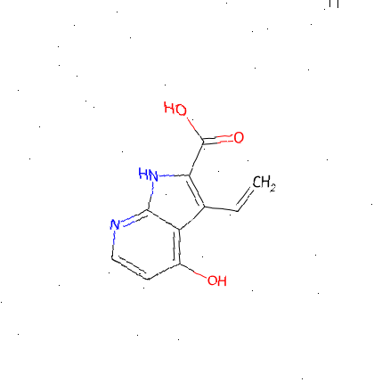 C=Cc1c(C(=O)O)[nH]c2nccc(O)c12